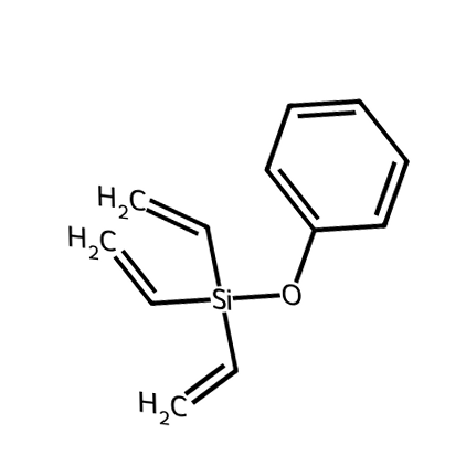 C=C[Si](C=C)(C=C)Oc1ccccc1